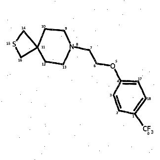 FC(F)(F)c1ccc(OCCN2CCC3(CC2)CSC3)cc1